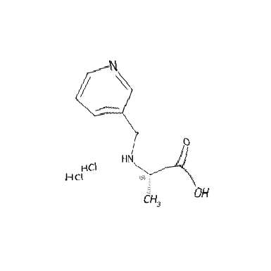 C[C@H](NCc1cccnc1)C(=O)O.Cl.Cl